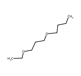 CCCCOCCCOCC